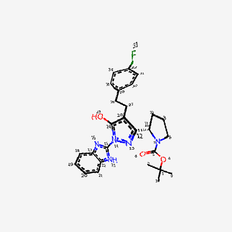 CC(C)(C)OC(=O)N1CCC[C@H]1c1nn(-c2nc3ccccc3[nH]2)c(O)c1CCc1ccc(F)cc1